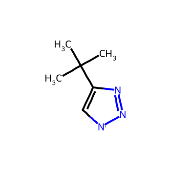 CC(C)(C)C1=C[N]N=N1